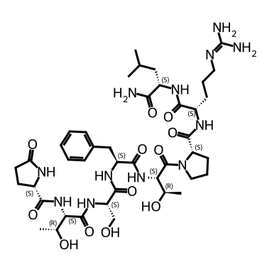 CC(C)C[C@H](NC(=O)[C@H](CCCN=C(N)N)NC(=O)[C@@H]1CCCN1C(=O)[C@@H](NC(=O)[C@H](Cc1ccccc1)NC(=O)[C@H](CO)NC(=O)[C@@H](NC(=O)[C@@H]1CCC(=O)N1)[C@@H](C)O)[C@@H](C)O)C(N)=O